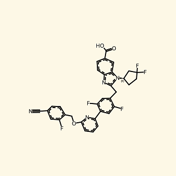 N#Cc1ccc(COc2cccc(-c3cc(F)c(Cc4nc5ccc(C(=O)O)cc5n4[C@@H]4CCC(F)(F)C4)cc3F)n2)c(F)c1